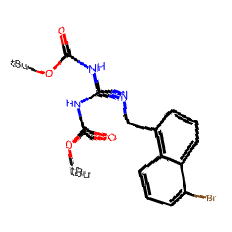 CC(C)(C)OC(=O)NC(=NCc1cccc2c(Br)cccc12)NC(=O)OC(C)(C)C